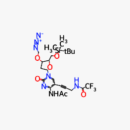 CC(=O)Nc1nc(=O)n(C2CC(OCN=[N+]=[N-])C(CO[Si](C)(C)C(C)(C)C)O2)cc1C#CCNC(=O)C(F)(F)F